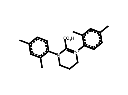 Cc1ccc(N2CCC[N+](c3ccc(C)cc3C)=C2C(=O)O)c(C)c1